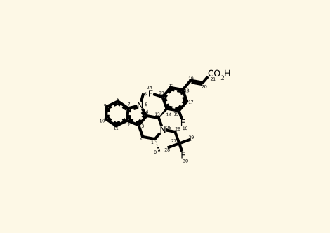 C[C@@H]1Cc2c(n(C)c3ccccc23)[C@@H](c2c(F)cc(/C=C/C(=O)O)cc2F)N1CC(C)(C)F